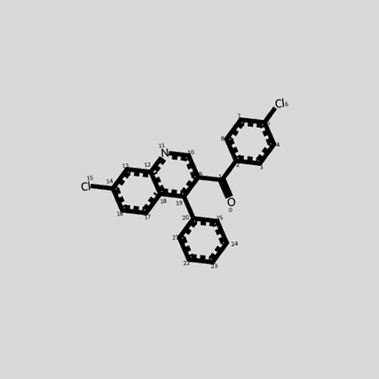 O=C(c1ccc(Cl)cc1)c1cnc2cc(Cl)ccc2c1-c1ccccc1